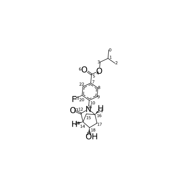 CC(C)COC(=O)c1ccc(N2C(=O)[C@@H]3C[C@H]2C[C@H]3O)c(F)c1